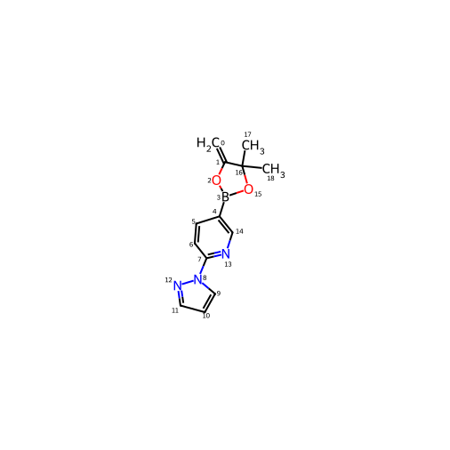 C=C1OB(c2ccc(-n3cccn3)nc2)OC1(C)C